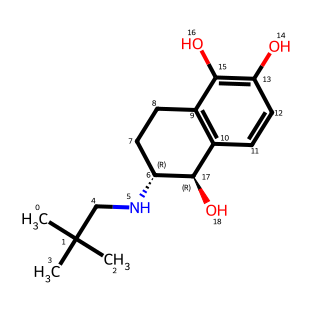 CC(C)(C)CN[C@@H]1CCc2c(ccc(O)c2O)[C@H]1O